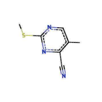 CSc1ncc(C)c(C#N)n1